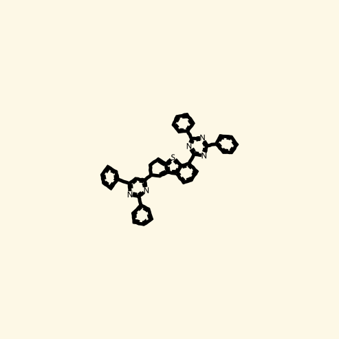 C1=c2sc3c(-c4nc(-c5ccccc5)nc(-c5ccccc5)n4)cccc3c2=CC(c2cc(-c3ccccc3)nc(-c3ccccc3)n2)C1